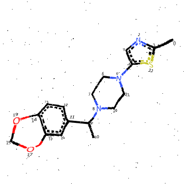 Cc1ncc(N2CCN(C(C)c3ccc4c(c3)OCO4)CC2)s1